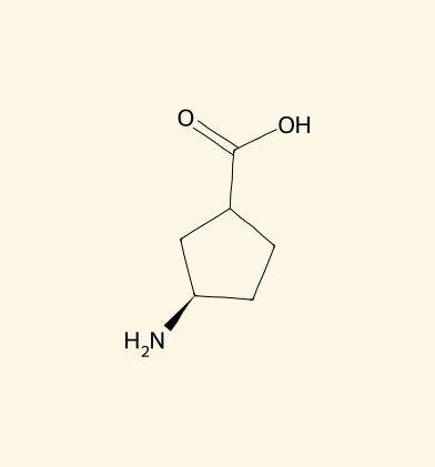 N[C@@H]1CCC(C(=O)O)C1